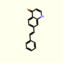 S=c1cc[nH]c2cc(/C=C/c3ccccc3)ccc12